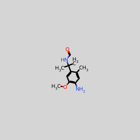 COc1cc(C(C)(C)NC=O)c(C)cc1N